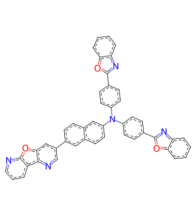 c1ccc2oc(-c3ccc(N(c4ccc(-c5nc6ccccc6o5)cc4)c4ccc5cc(-c6cnc7c(c6)oc6ncccc67)ccc5c4)cc3)nc2c1